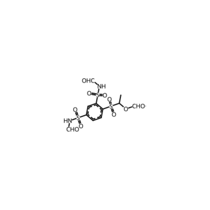 CC(O[C]=O)S(=O)(=O)c1ccc(S(=O)(=O)NC=O)cc1S(=O)(=O)NC=O